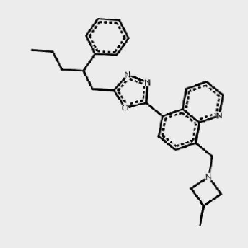 CCCC(Cc1nnc(-c2ccc(CN3CC(C)C3)c3ncccc23)o1)c1ccccc1